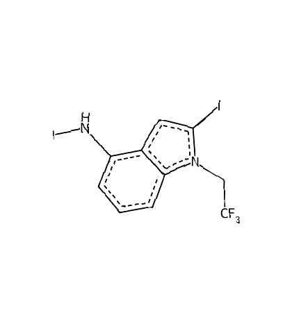 FC(F)(F)Cn1c(I)cc2c(NI)cccc21